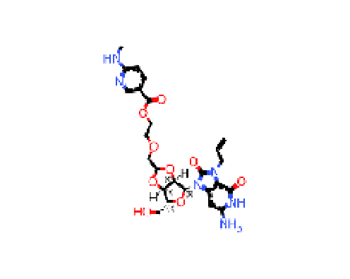 C=CCn1c(=O)n([C@@H]2O[C@H](CO)[C@H]3OC(COCCOC(=O)c4ccc(NC)nc4)O[C@H]32)c2cc(N)[nH]c(=O)c21